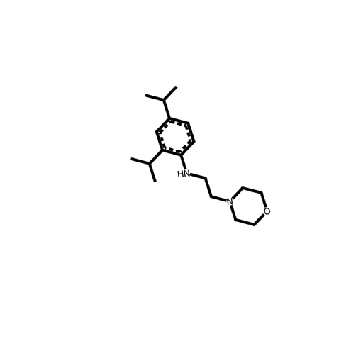 CC(C)c1ccc(NCCN2CCOCC2)c(C(C)C)c1